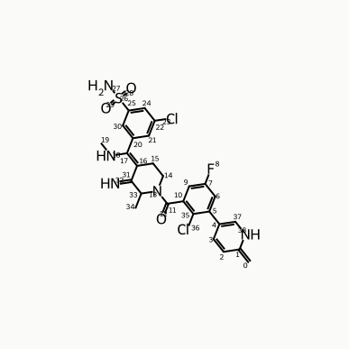 C=C1C=CC(c2cc(F)cc(C(=O)N3CC/C(=C(/NC)c4cc(Cl)cc(S(N)(=O)=O)c4)C(=N)C3C)c2Cl)=CN1